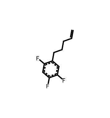 C=CCCCc1cc(F)c(F)cc1F